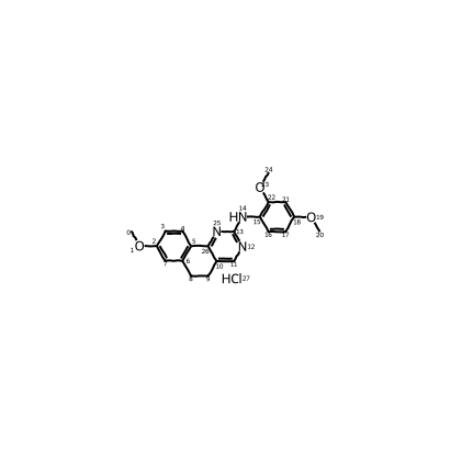 COc1ccc2c(c1)CCc1cnc(Nc3ccc(OC)cc3OC)nc1-2.Cl